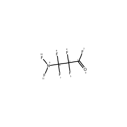 O=C(F)C(F)(F)C(F)(F)N(F)F